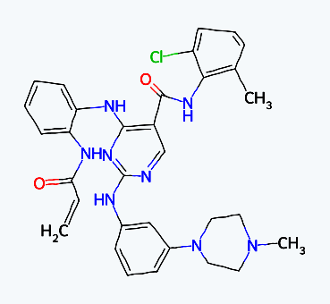 C=CC(=O)Nc1ccccc1Nc1nc(Nc2cccc(N3CCN(C)CC3)c2)ncc1C(=O)Nc1c(C)cccc1Cl